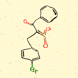 O=C(C(Cc1ccc(Br)cc1)=S(=O)=O)c1ccccc1